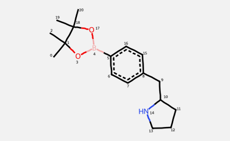 CC1(C)OB(c2ccc(CC3CCCN3)cc2)OC1(C)C